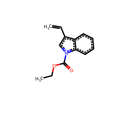 C=Cc1cn(C(=O)OCC)c2ccccc12